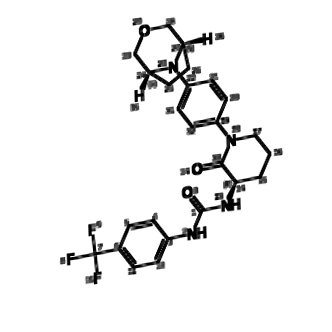 O=C(Nc1ccc(C(F)(F)F)cc1)N[C@@H]1CCCN(c2ccc(N3[C@@H]4CC[C@H]3COC4)cc2)C1=O